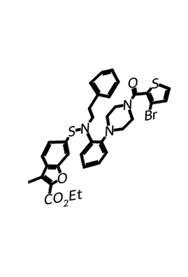 CCOC(=O)c1oc2cc(SN(CCc3ccccc3)c3ccccc3N3CCN(C(=O)c4sccc4Br)CC3)ccc2c1C